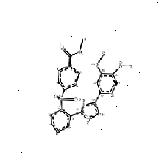 COC(=O)c1ccc(S(=O)(=O)c2ccccc2-c2nc(-c3ccc(OC)c(OC)c3)no2)cc1